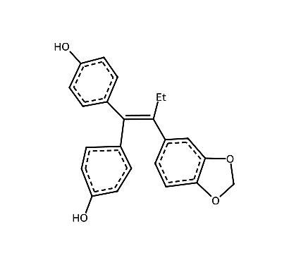 CCC(=C(c1ccc(O)cc1)c1ccc(O)cc1)c1ccc2c(c1)OCO2